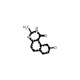 Cc1nc2ccc3ccc(Cl)cc3c2c(=O)[nH]1